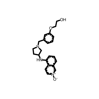 [O-][n+]1ccc2c(NC3CCN(Cc4cccc(OCCO)c4)C3)cccc2c1